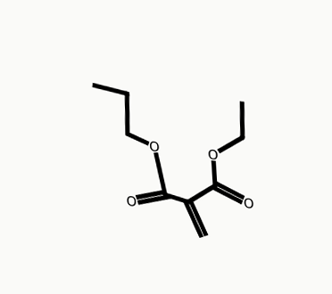 C=C(C(=O)OCC)C(=O)OCCC